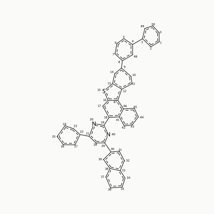 c1ccc(-c2cccc(-c3ccc4c(c3)sc3cc(-c5nc(-c6ccccc6)cc(-c6ccc7ccccc7c6)n5)c5ccccc5c34)c2)cc1